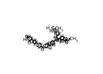 CCCS(=O)(=O)Nc1cccc(-c2nc(C3CCN(C(=O)C4(C)CCN(C(=O)C5CCN(c6ccc([C@@H]7CCC(=O)NC7=O)cc6)CC5)CC4)CC3)sc2-c2ccnc(NC(C)C)n2)c1F